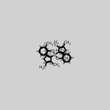 CC1=C(C)[C]([Zr]([O]c2ccccc2C)([O]c2ccccc2C)[C]2=C(C)CC(C)=C2C)=C(C)C1